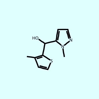 Cc1ccsc1C(O)c1ccnn1C